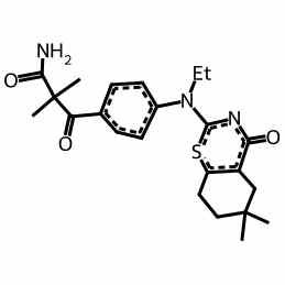 CCN(c1ccc(C(=O)C(C)(C)C(N)=O)cc1)c1nc(=O)c2c(s1)CCC(C)(C)C2